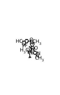 C#Cc1ccc(C(=O)N2Cc3nc(-n4nc(C5CC5)cc4C)n(-c4ccc5c(c4)ncn5C)c(=O)c3C[C@H]2C)cc1C(F)(F)F